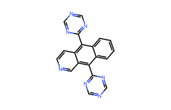 c1ccc2c(-c3ncncn3)c3cnccc3c(-c3ncncn3)c2c1